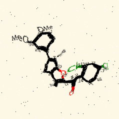 COc1ccc(-c2ccc3c(C)c(C(=O)c4ccc(Cl)cc4Cl)oc3c2)cc1OC